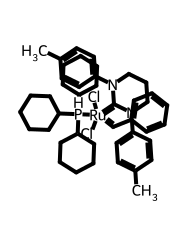 Cc1ccc(N2CCCN(c3ccc(C)cc3)[C]2=[Ru]([Cl])([Cl])(=[CH]c2ccccc2)[PH](C2CCCCC2)(C2CCCCC2)C2CCCCC2)cc1